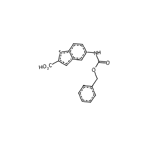 O=C(Nc1ccc2sc(C(=O)O)cc2c1)OCc1ccccc1